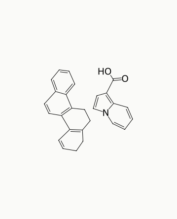 C1=CC2=C(CC1)CCc1c2ccc2ccccc12.O=C(O)c1ccn2ccccc12